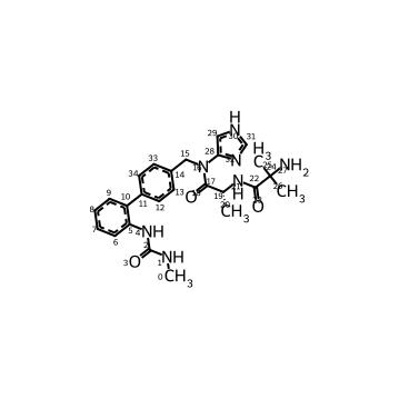 CNC(=O)Nc1ccccc1-c1ccc(CN(C(=O)[C@@H](C)NC(=O)C(C)(C)N)c2c[nH]cn2)cc1